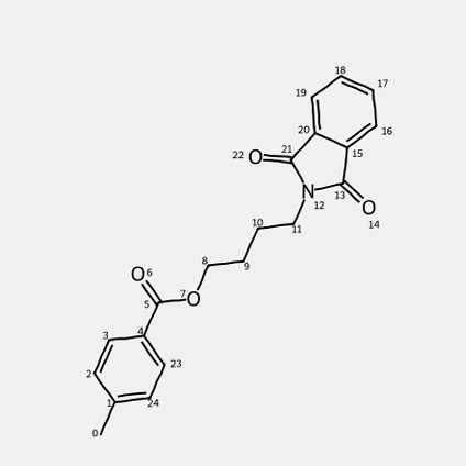 Cc1ccc(C(=O)OCCCCN2C(=O)c3ccccc3C2=O)cc1